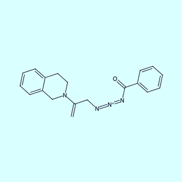 C=C(CN=[N+]=NC(=O)c1ccccc1)N1CCc2ccccc2C1